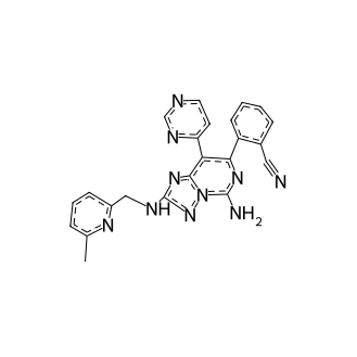 Cc1cccc(CNc2nc3c(-c4ccncn4)c(-c4ccccc4C#N)nc(N)n3n2)n1